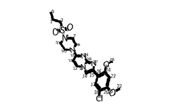 CCCS(=O)(=O)N1CCN(c2ccn3cc(-c4cc(Cl)c(OC)cc4OC)nc3n2)CC1